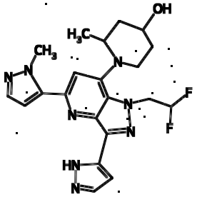 CC1CC(O)CCN1c1cc(-c2ccnn2C)nc2c(-c3ccn[nH]3)nn(CC(F)F)c12